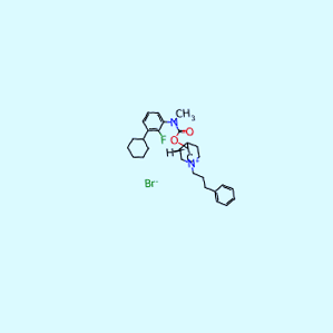 CN(C(=O)O[C@H]1C[N+]2(CCCc3ccccc3)CCC1CC2)c1cccc(C2CCCCC2)c1F.[Br-]